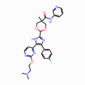 CN(C)CCOc1nccc(-c2[nH]c(C3OCC(C)(C(=O)Nc4cccnc4)CO3)nc2-c2ccc(F)cc2)n1